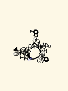 CC(C)(C)OC(=O)N[C@H]1CN(S(=O)(=O)c2ccccc2N=O)CCC/C=C\[C@@H]2C[C@@]2(C(=O)NS(=O)(=O)C2CC2)NC(=O)C2C[C@@H](OC(=O)N3Cc4cccc(F)c4C3)CN2C1=O